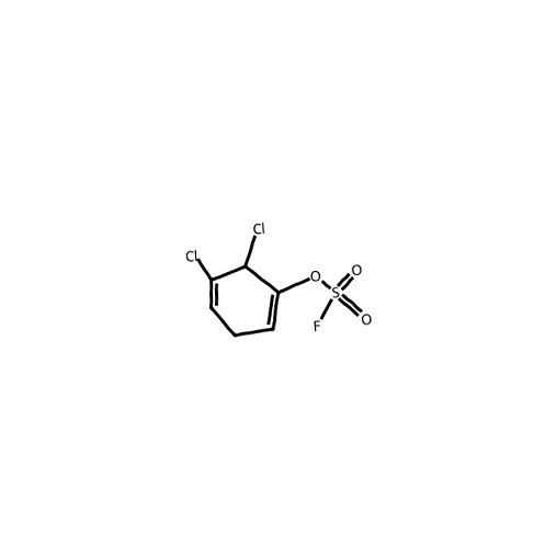 O=S(=O)(F)OC1=CCC=C(Cl)C1Cl